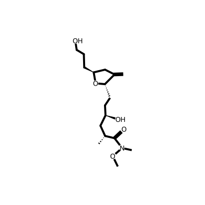 C=C1C[C@H](CCCO)O[C@H]1CC[C@@H](O)C[C@@H](C)C(=O)N(C)OC